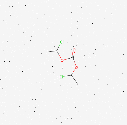 CC(Cl)OC(=O)OC(C)Cl